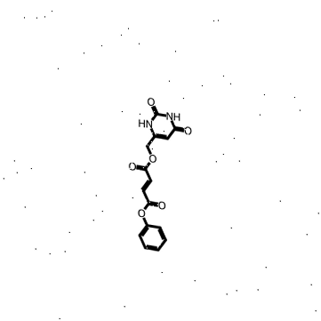 O=C(/C=C/C(=O)Oc1ccccc1)OCc1cc(=O)[nH]c(=O)[nH]1